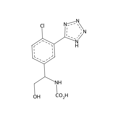 O=C(O)NC(CO)c1ccc(Cl)c(-c2nnn[nH]2)c1